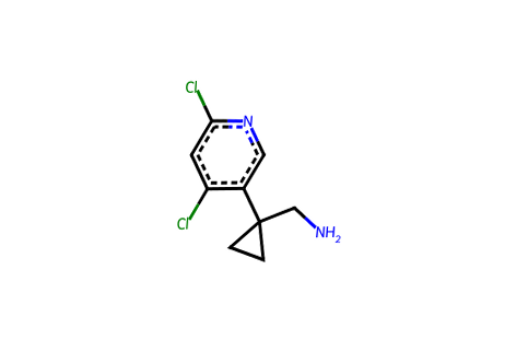 NCC1(c2cnc(Cl)cc2Cl)CC1